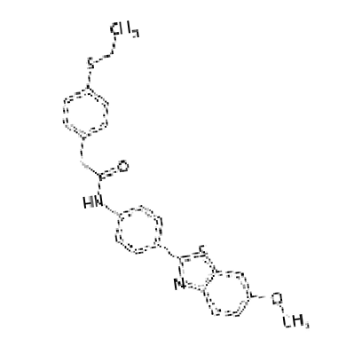 CCSc1ccc(CC(=O)Nc2ccc(-c3nc4ccc(OC)cc4s3)cc2)cc1